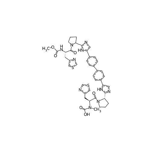 COC(=O)N[C@@H](Cc1cscn1)C(=O)N1CCCC1c1ncc(-c2ccc(-c3ccc(-c4cnc([C@@H]5CCCN5C(=O)[C@H](Cc5cscn5)N(C)C(=O)O)[nH]4)cc3)cc2)[nH]1